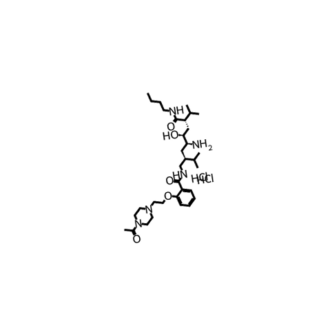 CCCCNC(=O)[C@@H](C[C@H](O)[C@@H](N)C[C@H](CNC(=O)c1ccccc1OCCN1CCN(C(C)=O)CC1)C(C)C)C(C)C.Cl.Cl